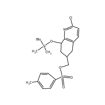 Cc1ccc(S(=O)(=O)OCC2Cc3ccc(Cl)nc3C(O[Si](C)(C)C(C)(C)C)C2)cc1